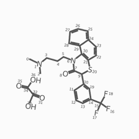 CN(C)CCCN1C(=O)C(c2cccc(C(F)(F)F)c2)Sc2ccc3ccccc3c21.O=C(O)C(=O)O